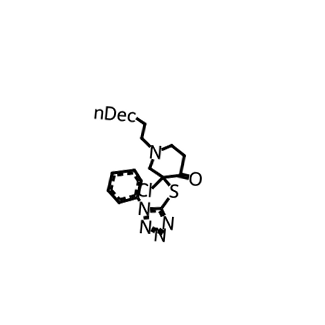 CCCCCCCCCCCCN1CCC(=O)C(Cl)(Sc2nnnn2-c2ccccc2)C1